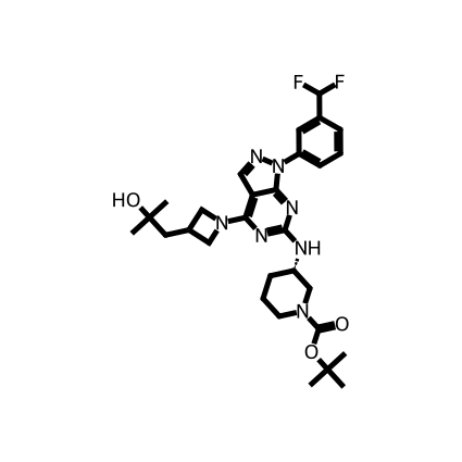 CC(C)(O)CC1CN(c2nc(N[C@H]3CCCN(C(=O)OC(C)(C)C)C3)nc3c2cnn3-c2cccc(C(F)F)c2)C1